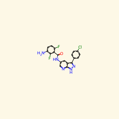 Nc1ccc(F)c(C(=O)Nc2cnc3[nH]nc(-c4ccc(Cl)cc4)c3c2)c1F